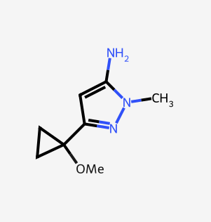 COC1(c2cc(N)n(C)n2)CC1